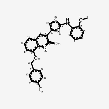 COc1ccccc1Nc1nc(-c2cc3cccc(OCc4ccc(F)cc4)c3oc2=O)cs1